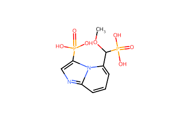 COC(c1cccc2ncc(P(=O)(O)O)n12)P(=O)(O)O